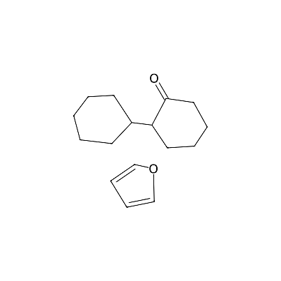 O=C1CCCCC1C1CCCCC1.c1ccoc1